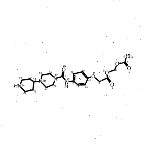 CC(C)(C)C(=O)OCOC(=O)COc1ccc(NC(=O)N2CCN(C3CCNCC3)CC2)cc1